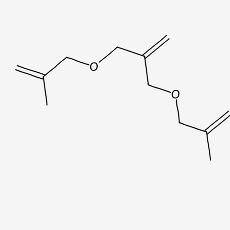 C=C(C)COCC(=C)COCC(=C)C